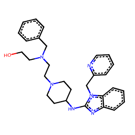 OCCN(CCN1CCC(Nc2nc3ccccc3n2Cc2ccccn2)CC1)Cc1ccccc1